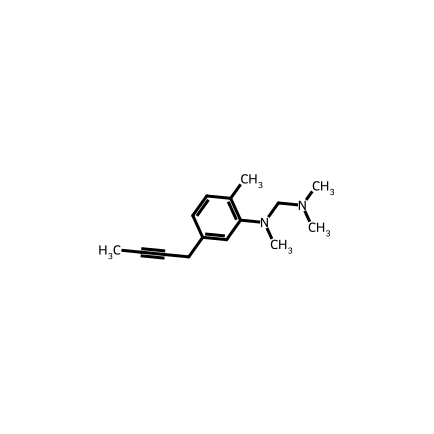 CC#CCc1ccc(C)c(N(C)CN(C)C)c1